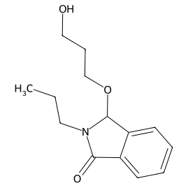 CCCN1C(=O)c2ccccc2C1OCCCO